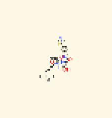 CCOC(=O)CCCCCCC(=O)N[C@H](C(=O)N1C[C@H](O)C[C@H]1C(=O)NCc1ccc(-c2scnc2C)cc1)C(C)(C)C